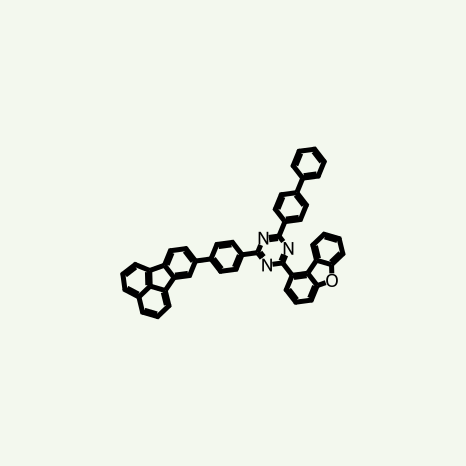 c1ccc(-c2ccc(-c3nc(-c4ccc(-c5ccc6c(c5)-c5cccc7cccc-6c57)cc4)nc(-c4cccc5oc6ccccc6c45)n3)cc2)cc1